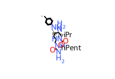 [CH2]c1ccc(NC[C@@H](CCCNC(N)=O)C(N)[C@@H](NC(=O)OCCCCC)C(C)C)cc1